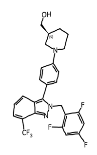 OC[C@H]1CCCN(c2ccc(-c3c4cccc(C(F)(F)F)c4nn3Cc3c(F)cc(F)cc3F)cc2)C1